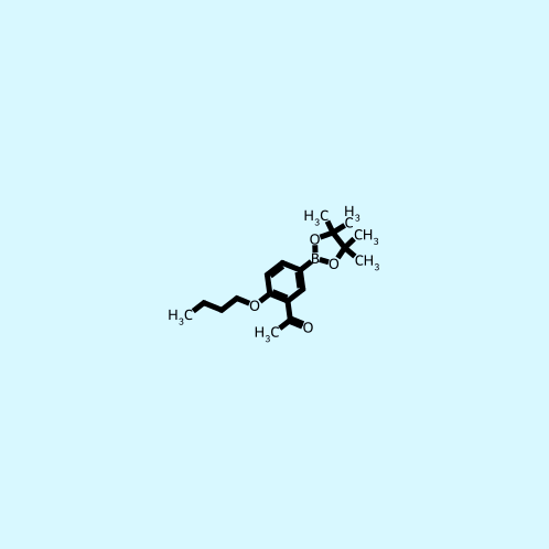 CCCCOc1ccc(B2OC(C)(C)C(C)(C)O2)cc1C(C)=O